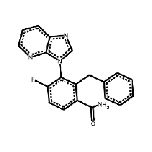 NC(=O)c1ccc(F)c(-n2cnc3cccnc32)c1Cc1ccccc1